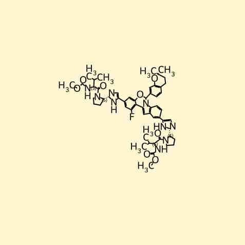 COC(=O)N[C@H](C(=O)N1CCC[C@H]1c1ncc(-c2cc(F)c3c(c2)OC(c2ccc4c(c2)OC(C)(C)CC4)n2c-3cc3cc(-c4cnc([C@@H]5CCCN5C(=O)[C@@H](NC(=O)OC)C(C)C)[nH]4)ccc32)[nH]1)C(C)C